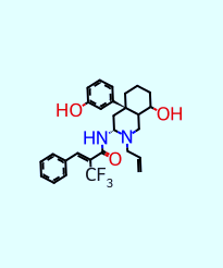 C=CCN1CC2C(O)CCC[C@@]2(c2cccc(O)c2)C[C@H]1NC(=O)C(=Cc1ccccc1)C(F)(F)F